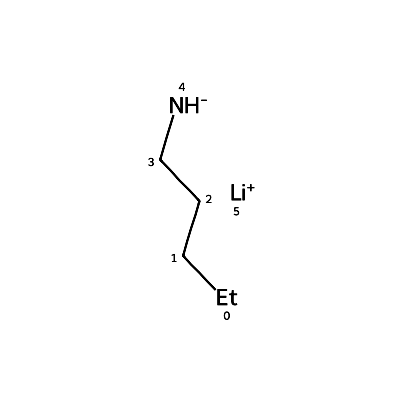 CCCCC[NH-].[Li+]